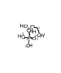 O=C(O)CO.O=P(O)(O)O